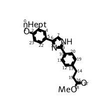 CCCCCCCOc1ccc(-c2c[nH]c(-c3ccc(CCC(=O)OC)cc3)n2)cc1